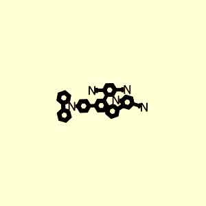 N#Cc1ccc2c(c1)c1ccccc1n2-c1c(C#N)ccc(C#N)c1-c1cccc(-c2ccc(-n3c4ccccc4c4ccccc43)cc2)c1